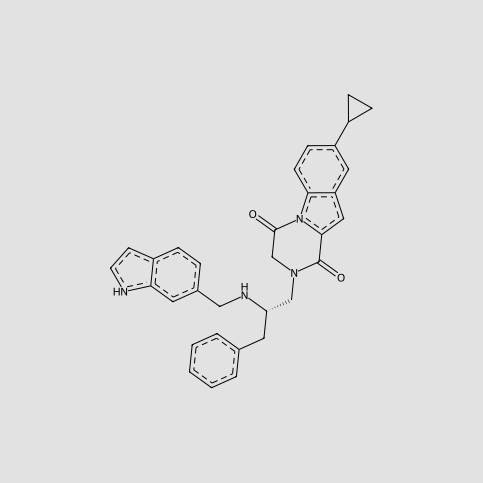 O=C1c2cc3cc(C4CC4)ccc3n2C(=O)CN1C[C@H](Cc1ccccc1)NCc1ccc2cc[nH]c2c1